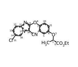 CCOC(=O)[C@@H](C)Oc1ccc(Oc2nc3ccc(Cl)cn3c2C#N)cc1